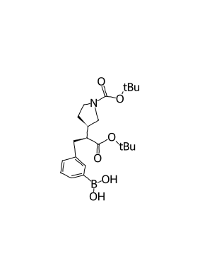 CC(C)(C)OC(=O)[C@@H](Cc1cccc(B(O)O)c1)[C@H]1CCN(C(=O)OC(C)(C)C)C1